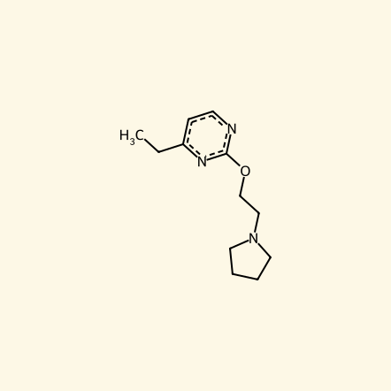 CCc1ccnc(OCCN2CCCC2)n1